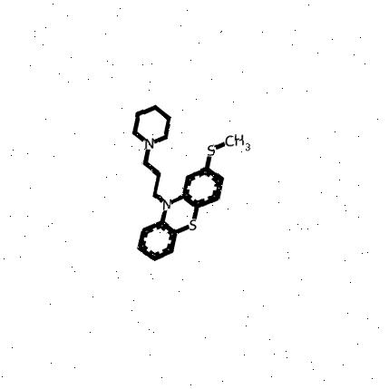 CSc1ccc2c(c1)N(CCCN1CCCCC1)c1ccccc1S2